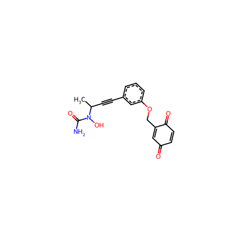 CC(C#Cc1cccc(OCC2=CC(=O)C=CC2=O)c1)N(O)C(N)=O